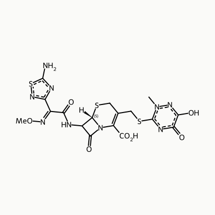 CON=C(C(=O)NC1C(=O)N2C(C(=O)O)=C(CSc3nc(=O)c(O)nn3C)CS[C@@H]12)c1nsc(N)n1